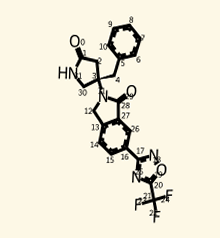 O=C1C[C@](Cc2ccccc2)(N2Cc3ccc(-c4noc(C(F)(F)F)n4)cc3C2=O)CN1